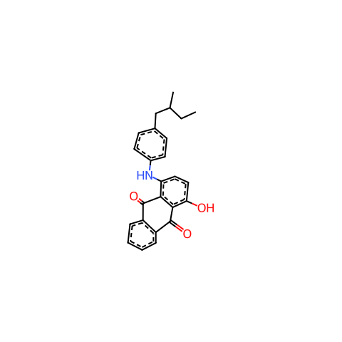 CCC(C)Cc1ccc(Nc2ccc(O)c3c2C(=O)c2ccccc2C3=O)cc1